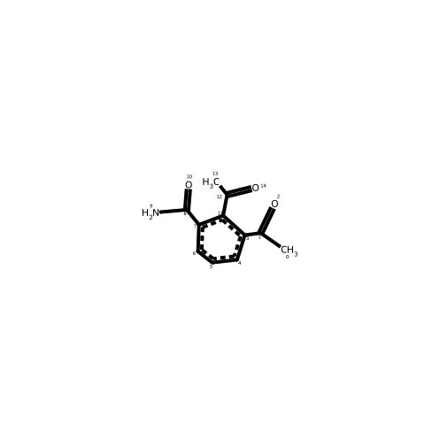 CC(=O)c1cccc(C(N)=O)c1C(C)=O